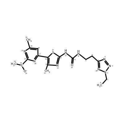 CCn1nnc(CCNC(=O)Nc2nc(C)c(-c3cc(C)nc([S+](C)[O-])n3)s2)n1